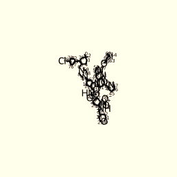 CC1(C)CCC(CN2CCN(c3ccc(C(=O)NS(=O)(=O)c4ccc(NCC5CCOCC5)c([N+](=O)[O-])c4)c(N4CCC(c5ccccn5)Oc5nc6c(ccn6COCC[Si](C)(C)C)cc54)c3)CC2)=C(c2ccc(Cl)cc2)C1